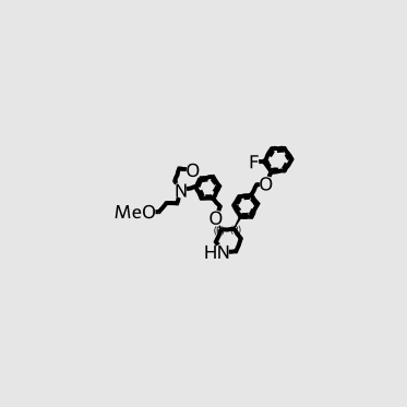 COCCCN1CCOc2ccc(CO[C@H]3CNCC[C@@H]3c3ccc(COc4ccccc4F)cc3)cc21